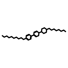 CCCCCCCCCCc1ccc(C2=CCC(C3CCC(CCCCCCCC)CC3)C=C2)cc1